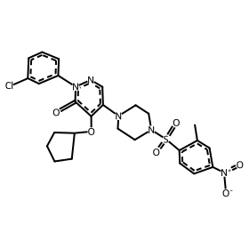 Cc1cc([N+](=O)[O-])ccc1S(=O)(=O)N1CCN(c2cnn(-c3cccc(Cl)c3)c(=O)c2OC2CCCC2)CC1